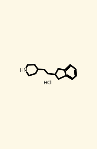 Cl.c1ccc2c(c1)CC(CCC1CCNCC1)C2